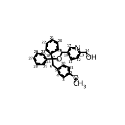 COc1ccc(CC(OCc2ccc(CO)nc2)(c2ccccc2)c2ccccc2)cc1